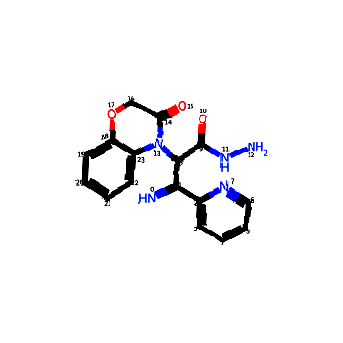 N=C(c1ccccn1)C(C(=O)NN)N1C(=O)COc2ccccc21